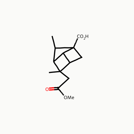 COC(=O)CC1(C)C2CC3(C(=O)O)C(C)C1C23